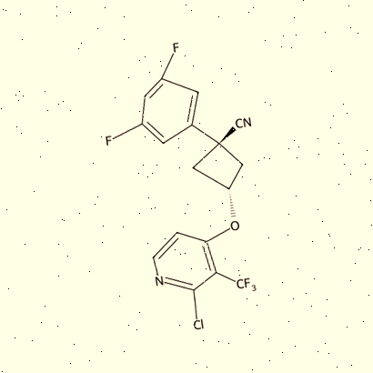 N#C[C@]1(c2cc(F)cc(F)c2)C[C@@H](Oc2ccnc(Cl)c2C(F)(F)F)C1